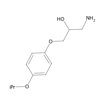 CC(C)Oc1ccc(OCC(O)CN)cc1